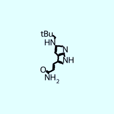 CC(C)(C)CNc1cnc2[nH]cc(/C=C/C(N)=O)c2c1